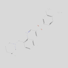 COc1ccc(S(=O)(=O)c2cnc3c(CN4CCCC(F)(F)C4)cccc3c2)cc1OC.Cl